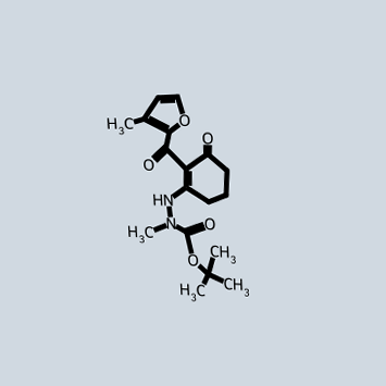 Cc1ccoc1C(=O)C1=C(NN(C)C(=O)OC(C)(C)C)CCCC1=O